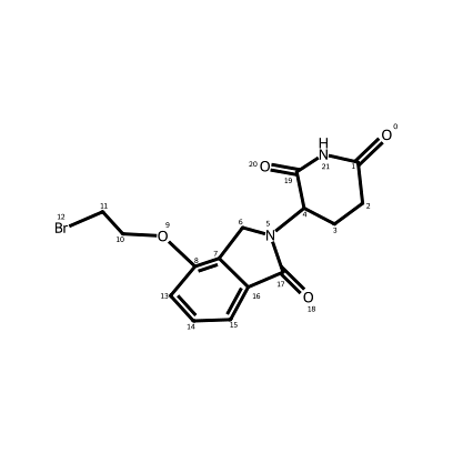 O=C1CCC(N2Cc3c(OCCBr)cccc3C2=O)C(=O)N1